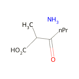 CCCC(=O)C(C)C(=O)O.N